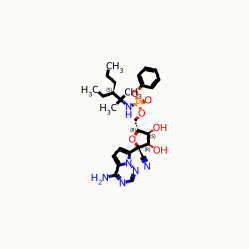 CCC[C@H](CC)C(C)(C)NP(=O)(OC[C@H]1O[C@@](C#N)(c2ccc3c(N)ncnn23)[C@H](O)[C@@H]1O)Oc1ccccc1